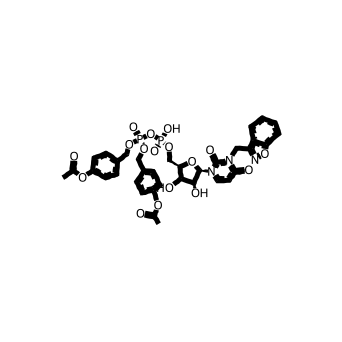 CC(=O)Oc1ccc(COP(=O)(OCc2ccc(OC(C)=O)cc2)OP(=O)(O)OC[C@H]2O[C@@H](n3ccc(=O)n(Cc4noc5ccccc45)c3=O)[C@@H](O)C2O)cc1